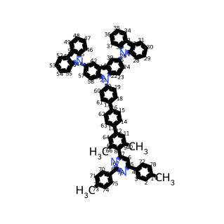 Cc1ccc(-c2cc(-c3c(C)cc(-c4ccc(-c5ccc(-n6c7ccc(-n8c9ccccc9c9ccccc98)cc7c7cc(-n8c9ccccc9c9ccccc98)ccc76)cc5)cc4)cc3C)nc(-c3ccc(C)cc3)n2)cc1